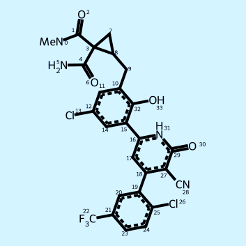 CNC(=O)C1(C(N)=O)CC1Cc1cc(Cl)cc(-c2cc(-c3cc(C(F)(F)F)ccc3Cl)c(C#N)c(=O)[nH]2)c1O